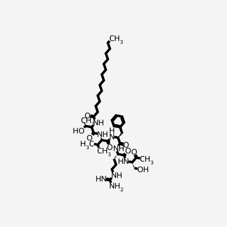 CCCCCCCCCCCCCCCC(=O)NC(C(=O)N[C@H](C(=O)N[C@@H](Cc1ccccc1)C(=O)N[C@@H](CCCNC(=N)N)C(=O)N[C@@H](CO)C(C)=O)C(C)C)[C@@H](C)O